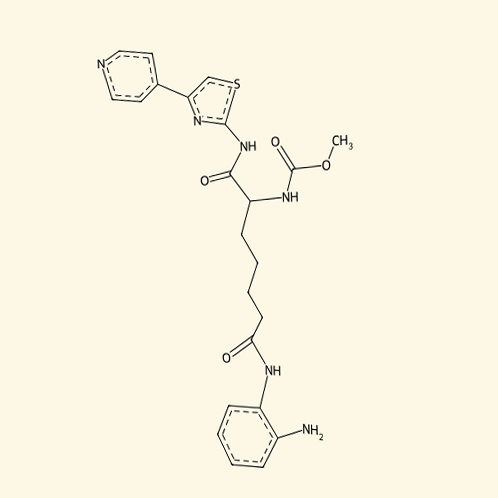 COC(=O)NC(CCCCC(=O)Nc1ccccc1N)C(=O)Nc1nc(-c2ccncc2)cs1